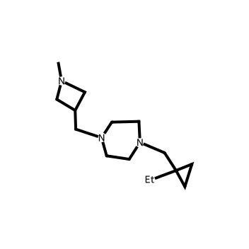 CCC1(CN2CCN(CC3CN(C)C3)CC2)CC1